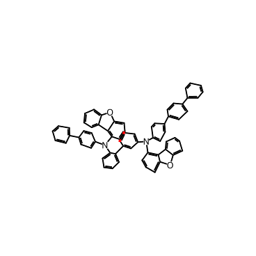 c1ccc(-c2ccc(-c3ccc(N(c4cccc(-c5ccccc5N(c5ccc(-c6ccccc6)cc5)c5cccc6oc7ccccc7c56)c4)c4cccc5oc6ccccc6c45)cc3)cc2)cc1